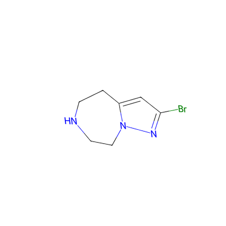 Brc1cc2n(n1)CCNCC2